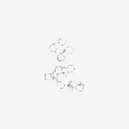 c1ccc([Si]2(c3ccccc3)c3ccccc3-c3cc(-c4cc5c6ccccc6n(-c6cccc(-c7ccc8ncccc8n7)c6)c5c5sc6ccccc6c45)ccc32)cc1